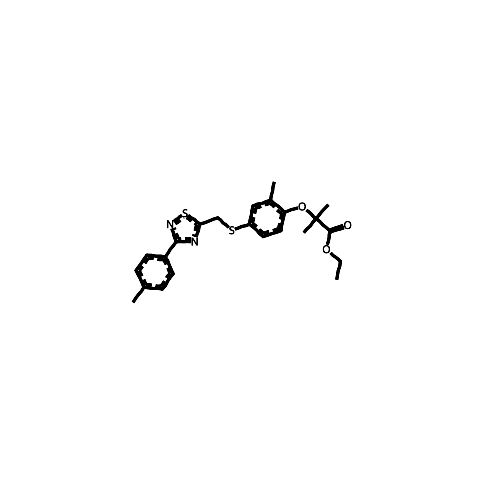 CCOC(=O)C(C)(C)Oc1ccc(SCc2nc(-c3ccc(C)cc3)ns2)cc1C